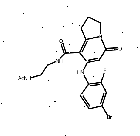 CC(=O)NCCNC(=O)c1c(Nc2ccc(Br)cc2F)cc(=O)n2c1CCC2